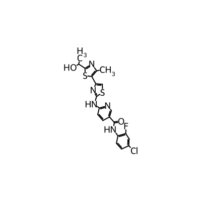 Cc1nc(C(C)O)sc1-c1csc(Nc2ccc(C(=O)Nc3ccc(Cl)cc3F)cn2)n1